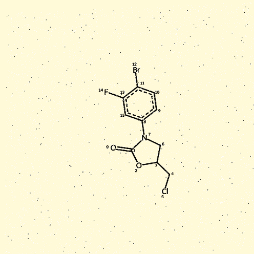 O=C1OC(CCl)CN1c1ccc(Br)c(F)c1